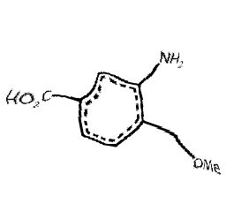 COCc1ccc(C(=O)O)cc1N